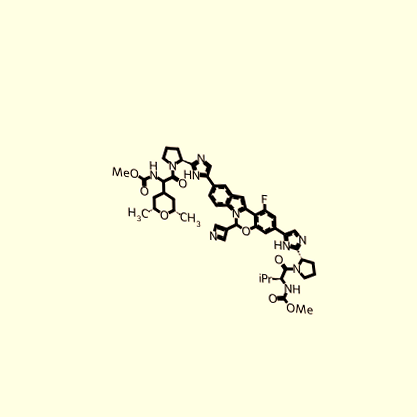 COC(=O)NC(C(=O)N1CCC[C@H]1c1ncc(-c2ccc3c(c2)cc2n3C(C3=CN=C3)Oc3cc(-c4cnc([C@@H]5CCCN5C(=O)[C@@H](NC(=O)OC)C(C)C)[nH]4)cc(F)c3-2)[nH]1)C1C[C@@H](C)O[C@@H](C)C1